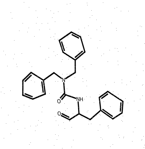 O=[C]C(Cc1ccccc1)NC(=O)N(Cc1ccccc1)Cc1ccccc1